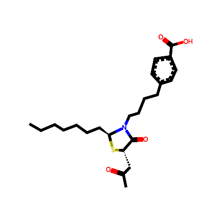 CCCCCCC[C@@H]1S[C@@H](CC(C)=O)C(=O)N1CCCCc1ccc(C(=O)O)cc1